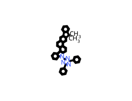 CC1(C)c2ccccc2-c2cc3ccc4c(ccc5c4c4ccccc4n5-c4nc(-c5ccccc5)nc(-c5ccccc5)n4)c3cc21